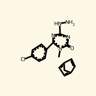 C1=CC2=CC=C1C2.Cn1c(-c2ccc(Cl)cc2)nc(NN)nc1=O